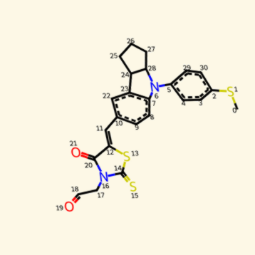 CSc1ccc(N2c3ccc(/C=C4\SC(=S)N(CC=O)C4=O)cc3C3CCCC32)cc1